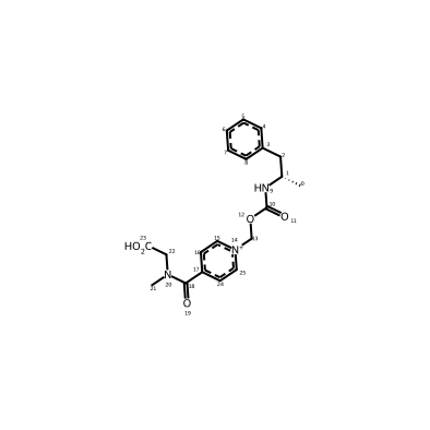 C[C@@H](Cc1ccccc1)NC(=O)OC[n+]1ccc(C(=O)N(C)CC(=O)O)cc1